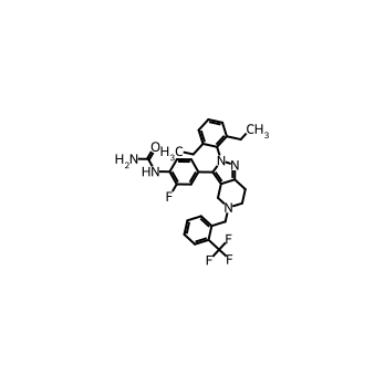 CCc1cccc(CC)c1-n1nc2c(c1-c1ccc(NC(N)=O)c(F)c1)CN(Cc1ccccc1C(F)(F)F)CC2